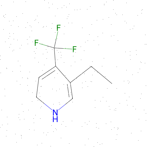 CCC1=CNCC=C1C(F)(F)F